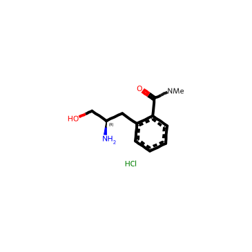 CNC(=O)c1ccccc1C[C@@H](N)CO.Cl